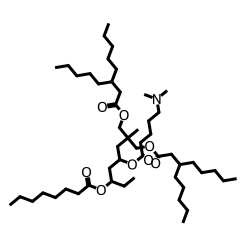 CCCCCCCC(=O)OC(CC)CC(CC(C)(COC(=O)CC(CCCCC)CCCCC)COC(=O)CC(CCCCC)CCCCC)OC(=O)CCCCN(C)C